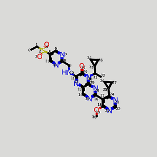 CCS(=O)(=O)c1cnc(CNc2nc3cnc(-c4c(OC)ncnc4C4CC4)nc3n(C(C)C3CC3)c2=O)nc1